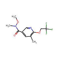 CON(C)C(=O)c1cnc(OCC(F)(F)F)c(C)c1